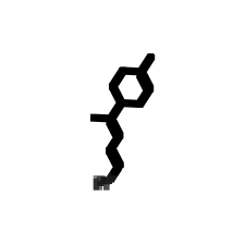 CC1=CCC(C(C)=CC=CC(C)C)CC1